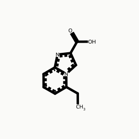 CCc1cccc2nc(C(=O)O)cn12